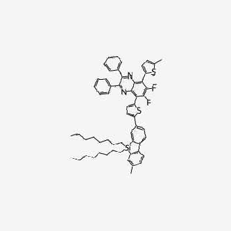 CCCCCCCC[Si]1(CCCCCCCC)c2cc(C)ccc2-c2ccc(-c3ccc(-c4c(F)c(F)c(-c5ccc(C)s5)c5nc(-c6ccccc6)c(-c6ccccc6)nc45)s3)cc21